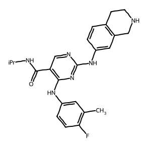 Cc1cc(Nc2nc(Nc3ccc4c(c3)CNCC4)ncc2C(=O)NC(C)C)ccc1F